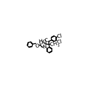 CC(c1ccc(Cl)c(Cl)c1)C1(C)C(=O)N(CC(=O)OCc2ccccc2)c2ccccc21